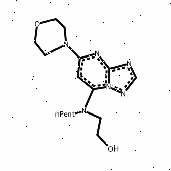 CCCCCN(CCO)c1cc(N2CCOCC2)nc2ncnn12